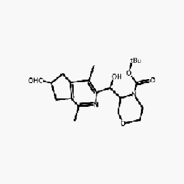 Cc1nc(C(O)C2COCCN2C(=O)OC(C)(C)C)c(C)c2c1CC(C=O)C2